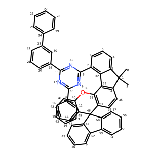 CC1(C)c2cccc(-c3nc(-c4ccccc4)nc(-c4cccc(-c5ccccc5)c4)n3)c2-c2c1ccc1c2Oc2ccccc2C12c1ccccc1-c1ccccc12